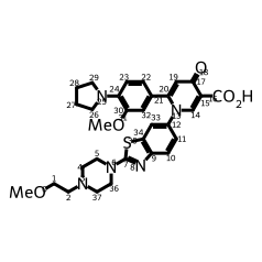 COCCN1CCN(c2nc3ccc(-n4cc(C(=O)O)c(=O)cc4-c4ccc(N5CCCC5)c(OC)c4)cc3s2)CC1